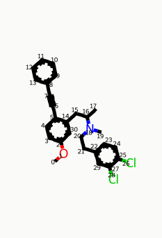 COc1ccc(C#Cc2ccccc2)c(CC(C)N(C)CCc2ccc(Cl)c(Cl)c2)c1